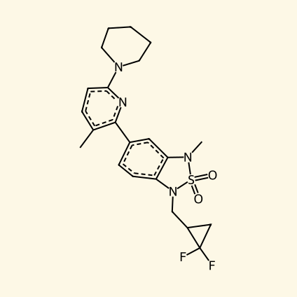 Cc1ccc(N2CCCCC2)nc1-c1ccc2c(c1)N(C)S(=O)(=O)N2CC1CC1(F)F